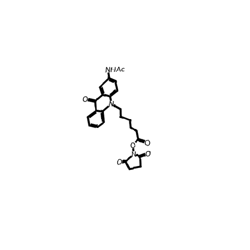 CC(=O)Nc1ccc2c(c1)c(=O)c1ccccc1n2CCCCCC(=O)ON1C(=O)CCC1=O